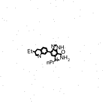 CCCN(C)c1cc(-c2ccc3c(c2)N=CC(CC)C3)c2nc[nH]c2c1C(N)=O